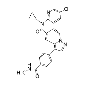 CNC(=O)c1ccc(-c2cnn3ccc(C(=O)N(c4ccc(Cl)cn4)C4CC4)cc23)cc1